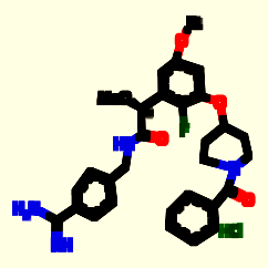 CCOc1cc(OC2CCN(C(=O)c3ccccc3)CC2)c(F)c([C@H](OC)C(=O)NCc2ccc(C(=N)N)cc2)c1.Cl